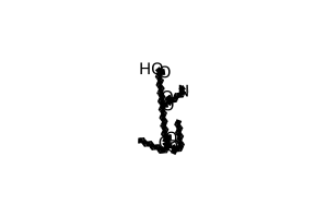 CCCCCC/C=C\C(C)OC(/C=C\CCCCCC)OC(=O)CCCCCCCC(CCCCCCCC(=O)O)OC(=O)CCCN(C)C